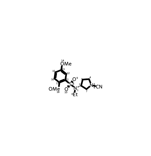 CCN([C@@H]1CCN(C#N)C1)S(=O)(=O)c1cc(OC)ccc1OC